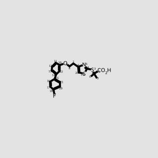 CC(C)(Sc1nc(CCOc2cccc(-c3ccc(F)cc3)c2)cs1)C(=O)O